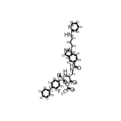 O=C(NC[C@H](NS(=O)(=O)c1ccc(-c2ccccc2)cc1)C(=O)OC(=O)C(F)(F)F)c1ccc2c(cnn2CCCNc2ccccn2)c1